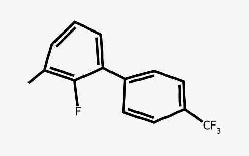 Cc1cccc(-c2ccc(C(F)(F)F)cc2)c1F